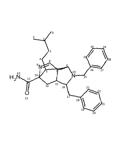 CC(C)CCC1C2C3C=NC1(C(N)=O)CC3C(Cc1ccccc1)N2Cc1ccccc1